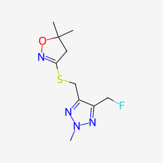 Cn1nc(CF)c(CSC2=NOC(C)(C)C2)n1